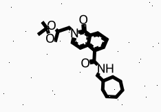 CC1(C)OCC(Cn2ccc3c(C(=O)NCC4CCCCCC4)cccc3c2=O)O1